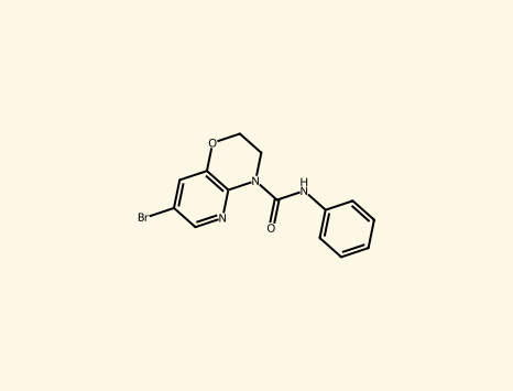 O=C(Nc1ccccc1)N1CCOc2cc(Br)cnc21